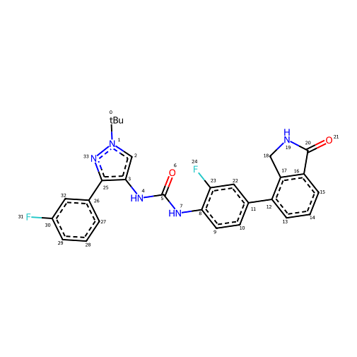 CC(C)(C)n1cc(NC(=O)Nc2ccc(-c3cccc4c3CNC4=O)cc2F)c(-c2cccc(F)c2)n1